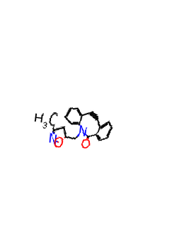 CC1=NOC(CN2C(=O)c3ccccc3C#Cc3ccccc32)C1